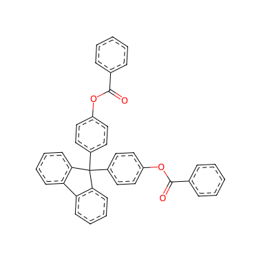 O=C(Oc1ccc(C2(c3ccc(OC(=O)c4ccccc4)cc3)c3ccccc3-c3ccccc32)cc1)c1ccccc1